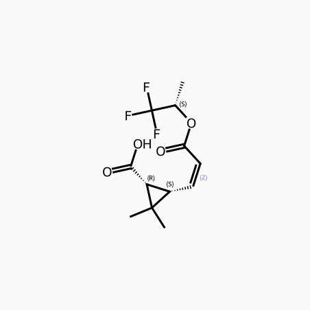 C[C@H](OC(=O)/C=C\[C@H]1[C@@H](C(=O)O)C1(C)C)C(F)(F)F